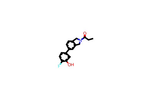 CCC(=O)N1Cc2ccc(-c3ccc(F)c(O)c3)cc2C1